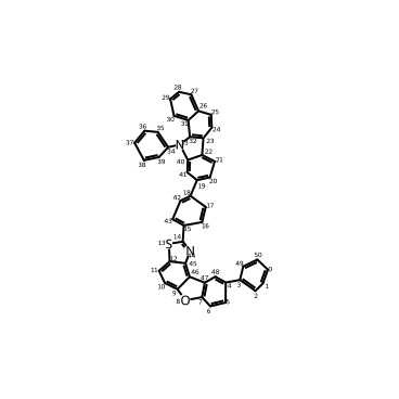 c1ccc(-c2ccc3oc4ccc5sc(-c6ccc(-c7ccc8c9ccc%10ccccc%10c9n(-c9ccccc9)c8c7)cc6)nc5c4c3c2)cc1